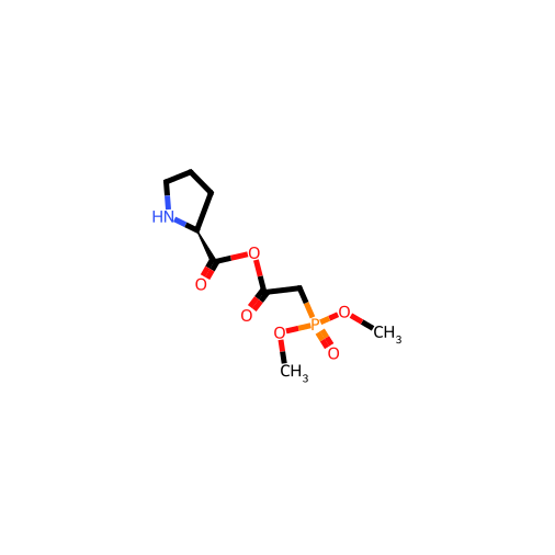 COP(=O)(CC(=O)OC(=O)[C@@H]1CCCN1)OC